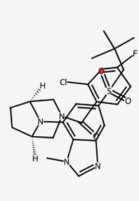 Cn1cnc2cc(S(=O)(=O)CC(C)(C)C)cc(N3[C@@H]4CC[C@H]3CN(C(=O)c3ccc(F)cc3Cl)C4)c21